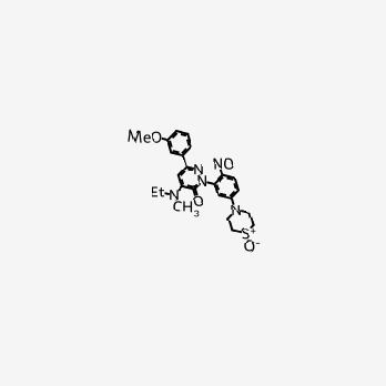 CCN(C)c1cc(-c2cccc(OC)c2)nn(-c2cc(N3CC[S+]([O-])CC3)ccc2N=O)c1=O